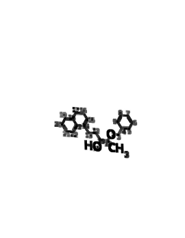 C[C@H](OCc1ccccc1)[C@H](O)CCc1cccc2ccccc12